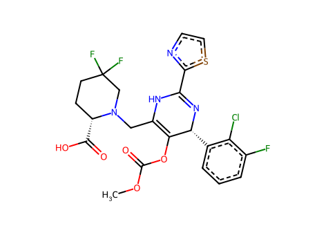 COC(=O)OC1=C(CN2CC(F)(F)CC[C@H]2C(=O)O)NC(c2nccs2)=N[C@@H]1c1cccc(F)c1Cl